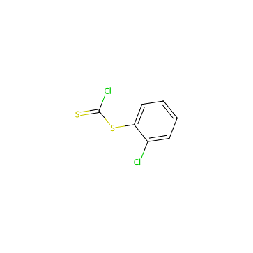 S=C(Cl)Sc1ccccc1Cl